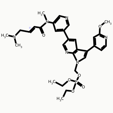 CCOP(=O)(OCC)OCn1cc(-c2ccnc(OC)c2)c2cc(-c3cncc(N(C)C(=O)/C=C/CN(C)C)c3)cnc21